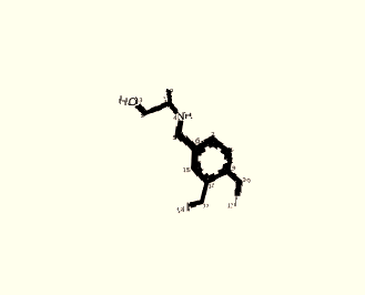 CC(CO)NCc1ccc(CI)c(CI)c1